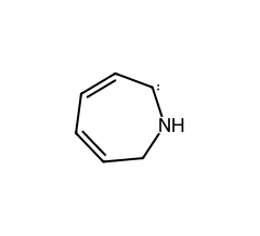 [C]1C=CC=CCN1